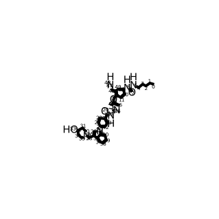 CCCCCNC(=O)Nc1ccc(Oc2cnc(NC(=O)c3ccc(-n4cc(CN5CCC(O)CC5)c5ccccc54)cc3)s2)c(CNC)c1